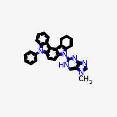 Cn1cnc2c1=CNC(n1c3c(c4c5c6ccccc6n(-c6ccccc6)c5ccc41)CCC=C3)N=2